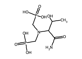 CC(O)C(C(N)=O)N(CP(=O)(O)O)CP(=O)(O)O